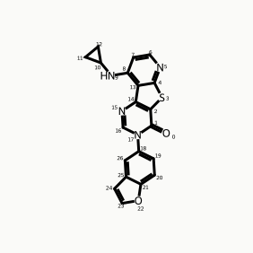 O=c1c2sc3nccc(NC4CC4)c3c2ncn1-c1ccc2occc2c1